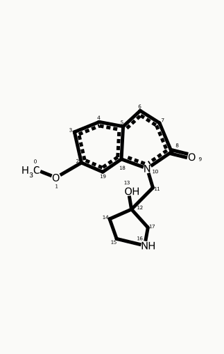 COc1ccc2ccc(=O)n(CC3(O)CCNC3)c2c1